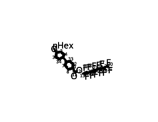 CCCCCCOc1ccc(-c2ccc(C(=O)OCC(F)(F)C(F)(F)C(F)(F)C(F)(F)C(F)(F)C(F)F)cc2)cc1